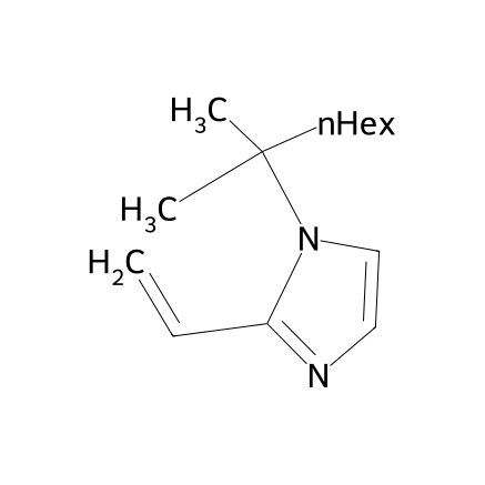 C=Cc1nccn1C(C)(C)CCCCCC